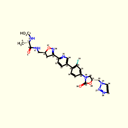 C[C@H](NC(=O)O)C(=O)NC[C@@H]1CC(c2ccc(-c3ccc(N4C[C@H](Cn5ccnn5)OC4=O)cc3F)cn2)=NO1